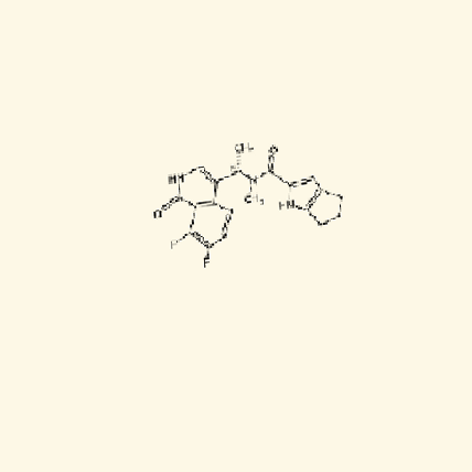 C[C@@H](c1c[nH]c(=O)c2c(F)c(F)ccc12)N(C)C(=O)c1cc2c([nH]1)CCC2